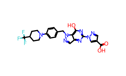 O=C(O)c1cnn(-c2nc(O)c3c(cnn3Cc3ccc(N4CCC(C(F)(F)F)CC4)cc3)n2)c1